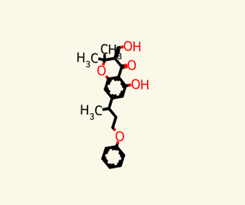 CC(CCOc1ccccc1)c1cc(O)c2c(c1)OC(C)(C)C(=CO)C2=O